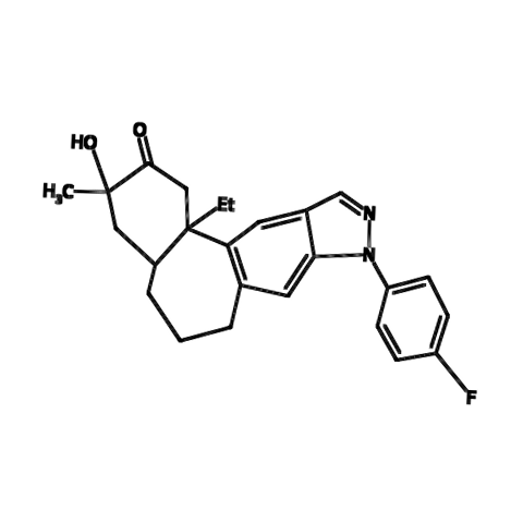 CCC12CC(=O)C(C)(O)CC1CCCc1cc3c(cnn3-c3ccc(F)cc3)cc12